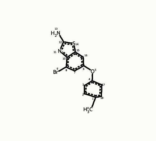 Cc1ccc(Oc2cc(Br)c3nc(N)sc3c2)cc1